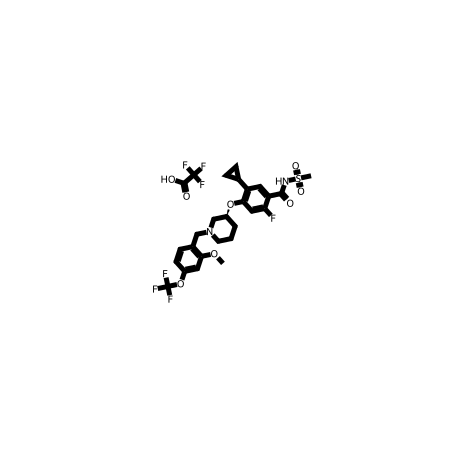 COc1cc(OC(F)(F)F)ccc1CN1CCC[C@@H](Oc2cc(F)c(C(=O)NS(C)(=O)=O)cc2C2CC2)C1.O=C(O)C(F)(F)F